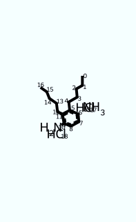 CCCCCc1cccc(N)c1CCCCC.Cl.Cl.N